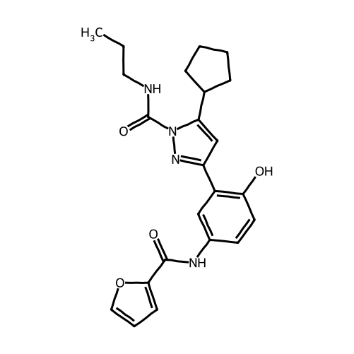 CCCNC(=O)n1nc(-c2cc(NC(=O)c3ccco3)ccc2O)cc1C1CCCC1